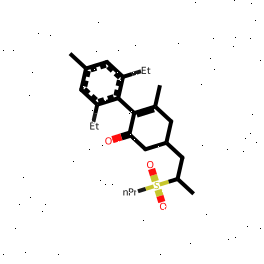 CCCS(=O)(=O)C(C)CC1CC(=O)C(c2c(CC)cc(C)cc2CC)=C(C)C1